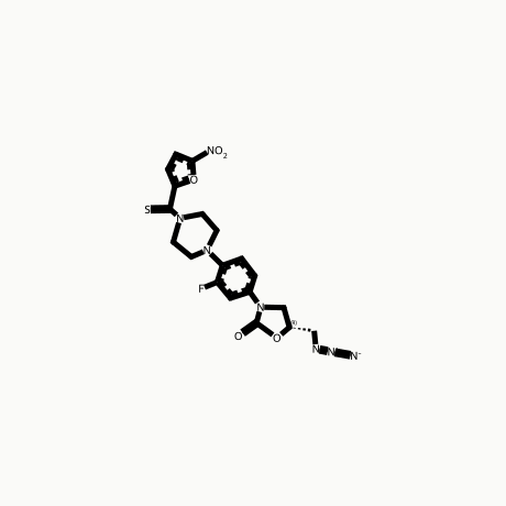 [N-]=[N+]=NC[C@H]1CN(c2ccc(N3CCN(C(=S)c4ccc([N+](=O)[O-])o4)CC3)c(F)c2)C(=O)O1